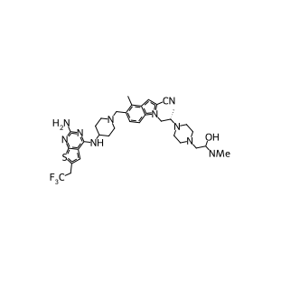 CNC(O)CN1CCN([C@@H](C)Cn2c(C#N)cc3c(C)c(CN4CCC(Nc5nc(N)nc6sc(CC(F)(F)F)cc56)CC4)ccc32)CC1